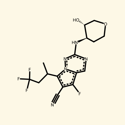 CC(CC(F)(F)F)c1c(C#N)c(F)c2cnc(N[C@@H]3CCOC[C@H]3O)nn12